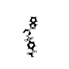 CCN(C=NS(=O)(=O)c1ccc(NC(C)=O)cc1)N1CC2(C=N1)CCCC2